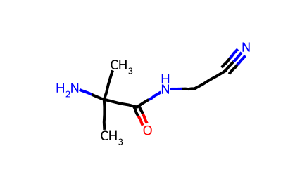 CC(C)(N)C(=O)NCC#N